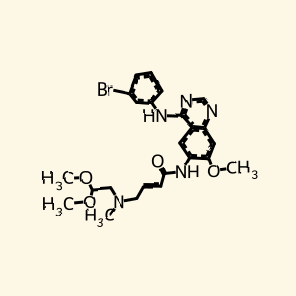 COc1cc2ncnc(Nc3cccc(Br)c3)c2cc1NC(=O)C=CCN(C)CC(OC)OC